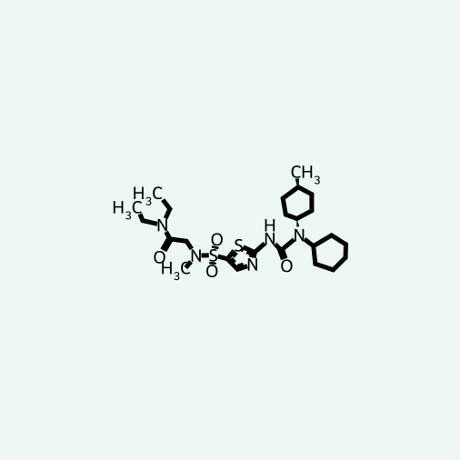 CCN(CC)C(=O)CN(C)S(=O)(=O)c1cnc(NC(=O)N(C2CCCCC2)[C@H]2CC[C@H](C)CC2)s1